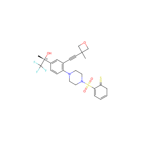 CC1(C#Cc2cc([C@@](C)(O)C(F)(F)F)ccc2N2CCN(S(=O)(=O)C3=CC=CCC3=S)CC2)COC1